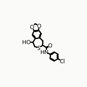 O=C(Nc1ccc(Cl)cc1)C1Cc2cc3c(cc2C(O)CS1)OCO3